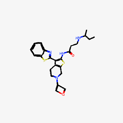 CCC(C)NCCC(=O)Nc1sc2c(c1-c1nc3ccccc3s1)CCN(C1COC1)C2